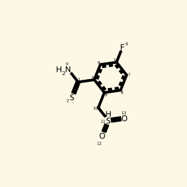 NC(=S)c1cc(F)[c]cc1C[SH](=O)=O